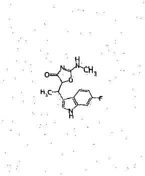 CNC1=NC(=O)C(C(C)c2c[nH]c3cc(F)ccc23)O1